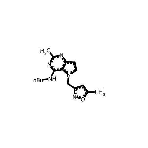 CCCCNc1nc(C)nc2ccn(Cc3cc(C)on3)c12